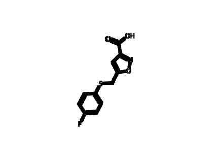 O=C(O)c1cc(CSc2ccc(F)cc2)on1